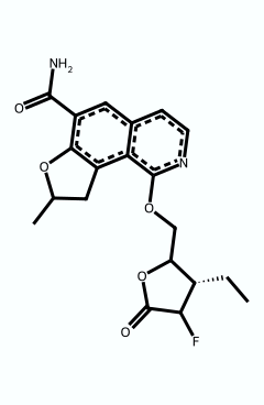 CC[C@H]1C(COc2nccc3cc(C(N)=O)c4c(c23)CC(C)O4)OC(=O)C1F